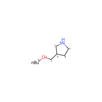 CCCCOCC1CCNC1